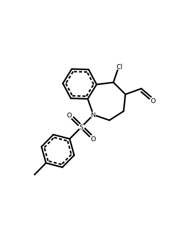 Cc1ccc(S(=O)(=O)N2CCC(C=O)C(Cl)c3ccccc32)cc1